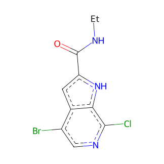 CCNC(=O)c1cc2c(Br)cnc(Cl)c2[nH]1